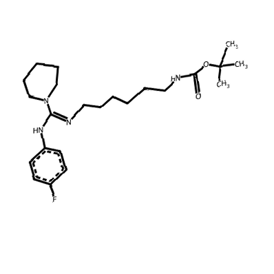 CC(C)(C)OC(=O)NCCCCCCN=C(Nc1ccc(F)cc1)N1CCCCC1